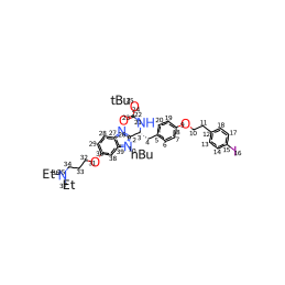 CCCCn1c([C@@H](Cc2ccc(OCCc3ccc(I)cc3)cc2)NC(=O)OC(C)(C)C)nc2ccc(OCCCN(CC)CC)cc21